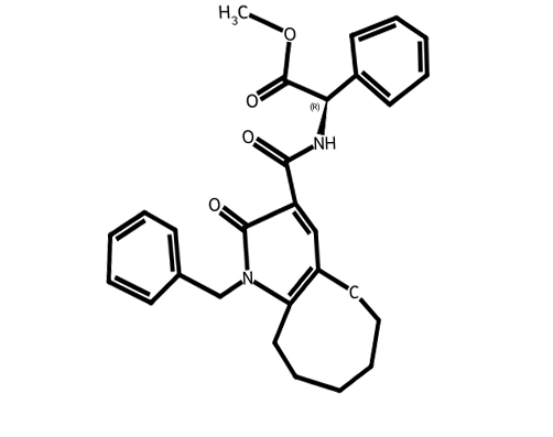 COC(=O)[C@H](NC(=O)c1cc2c(n(Cc3ccccc3)c1=O)CCCCCC2)c1ccccc1